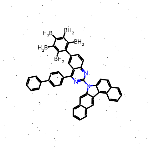 Bc1c(B)c(B)c(-c2ccc3nc(-n4c5cc6ccccc6cc5c5c6ccccc6ccc54)nc(-c4ccc(-c5ccccc5)cc4)c3c2)c(B)c1B